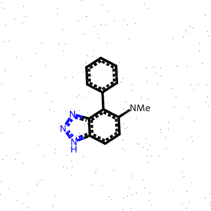 CNc1ccc2[nH]nnc2c1-c1ccccc1